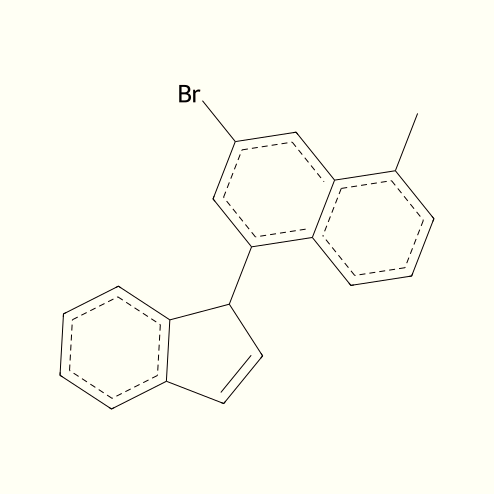 Cc1cccc2c(C3C=Cc4ccccc43)cc(Br)cc12